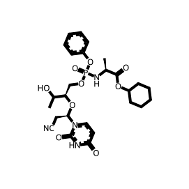 CC(O)[C@@H](COP(=O)(N[C@@H](C)C(=O)OC1CCCCC1)Oc1ccccc1)O[C@H](CC#N)n1ccc(=O)[nH]c1=O